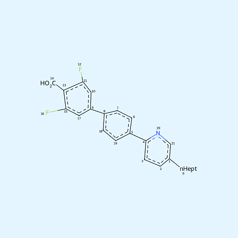 CCCCCCCc1ccc(-c2ccc(-c3cc(F)c(C(=O)O)c(F)c3)cc2)nc1